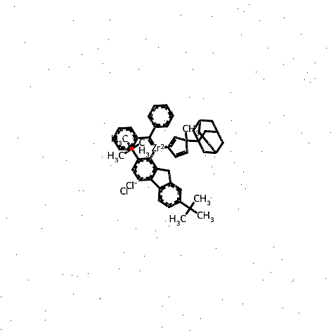 CC(C)(C)c1ccc2c(c1)Cc1c-2ccc(C(C)(C)C)[c]1[Zr+2]([C]1=CC(C)(C23CC4CC(CC(C4)C2)C3)C=C1)=[C](c1ccccc1)c1ccccc1.[Cl-].[Cl-]